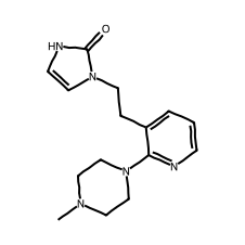 CN1CCN(c2ncccc2CCn2cc[nH]c2=O)CC1